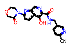 N#Cc1ccc(CNC(=O)c2ncc3nc(N4CCOCC4=O)ccc3c2O)cn1